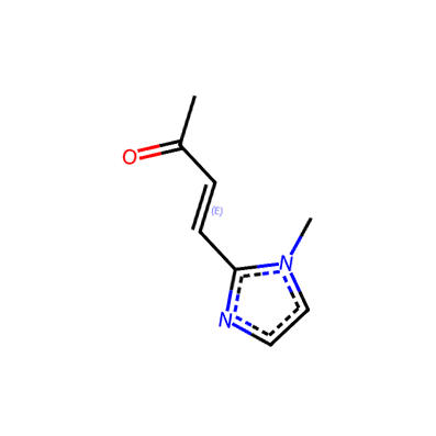 CC(=O)/C=C/c1nccn1C